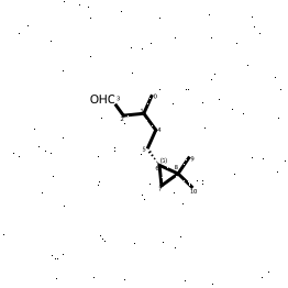 CC(CC=O)CC[C@H]1CC1(C)C